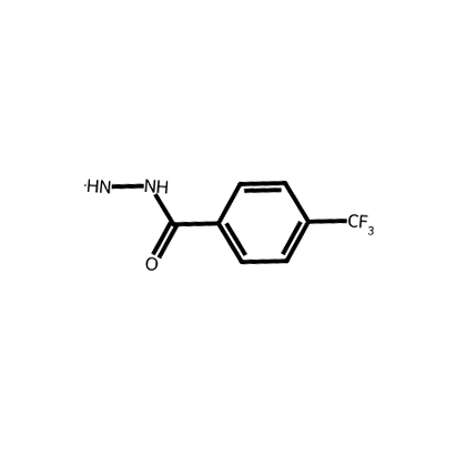 [NH]NC(=O)c1ccc(C(F)(F)F)cc1